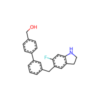 OCc1ccc(-c2cccc(Cc3cc4c(cc3F)NCC4)c2)cc1